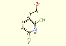 Clc1ccc(CCBr)c(Cl)n1